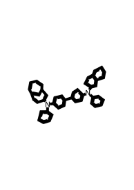 C1=CC2=CC(C=C1)C=C(N(c1ccccc1)c1ccc(-c3ccc(N(c4ccccc4)c4ccc5ccccc5c4)cc3)cc1)C=C2